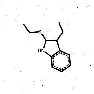 CCSC1Nc2ccccc2C1CC